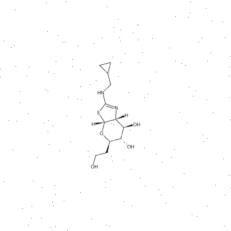 OCC[C@H]1O[C@@H]2SC(NCC3CC3)=N[C@@H]2[C@@H](O)[C@@H]1O